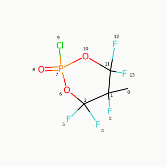 CC1(F)C(F)(F)OP(=O)(Cl)OC1(F)F